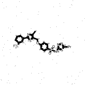 Cc1nc(-c2cccc(C(F)(F)F)c2)sc1COc1ccc(S(=O)(=O)Nc2nnc(C(C)C)s2)cc1